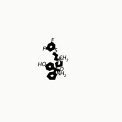 C[N@@+]1(CCCSc2cc(F)cc(F)c2)CCC([C@](C(N)=O)(c2ccccc2)c2ccc(O)cc2)C1